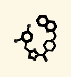 O=C(N1CCN(Cc2ccc3ccccc3n2)CC1)n1nnc(Cc2ccc(Cl)cc2Cl)n1